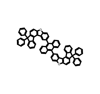 c1ccc(C2(c3ccccc3)c3ccccc3-c3c2ccc2oc4ccc(-c5c6ccccc6c(-c6ccc7oc8ccc9c(c8c7c6)-c6ccccc6C9(c6ccccc6)c6ccccc6)c6ccccc56)cc4c32)cc1